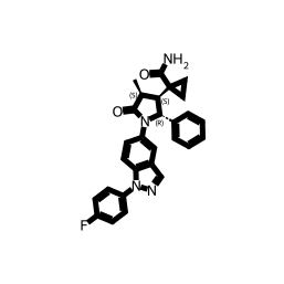 C[C@@H]1C(=O)N(c2ccc3c(cnn3-c3ccc(F)cc3)c2)[C@@H](c2ccccc2)[C@@H]1C1(C(N)=O)CC1